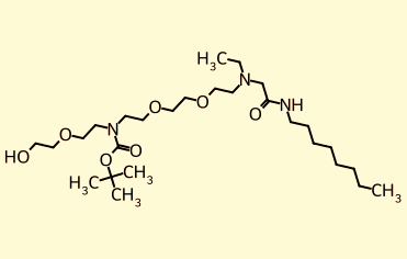 CCCCCCCCNC(=O)CN(CC)CCOCCOCCN(CCOCCO)C(=O)OC(C)(C)C